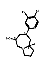 O[C@H]1C[C@@H](c2ccc(Cl)c(Cl)c2)C[C@@H]2CCCN2C1